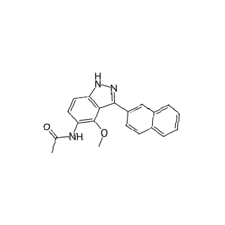 COc1c(NC(C)=O)ccc2[nH]nc(-c3ccc4ccccc4c3)c12